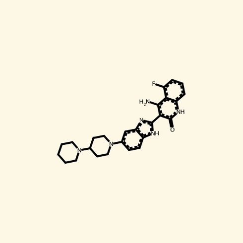 Nc1c(-c2nc3cc(N4CCC(N5CCCCC5)CC4)ccc3[nH]2)c(=O)[nH]c2cccc(F)c12